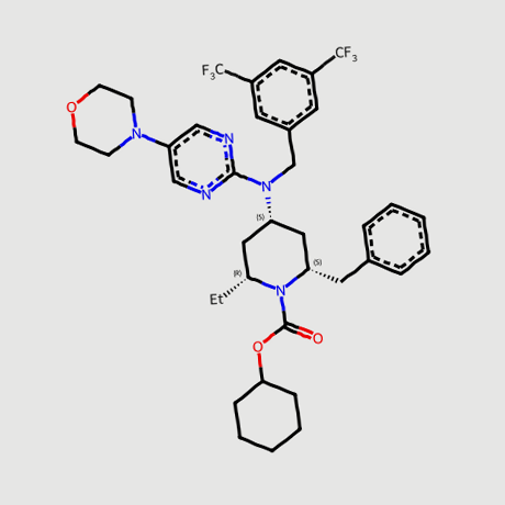 CC[C@@H]1C[C@H](N(Cc2cc(C(F)(F)F)cc(C(F)(F)F)c2)c2ncc(N3CCOCC3)cn2)C[C@H](Cc2ccccc2)N1C(=O)OC1CCCCC1